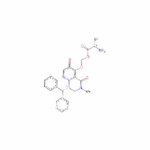 CC(C)[C@H](N)C(=O)OCOc1c2n(ncc1=O)[C@@H](C(c1ccccc1)c1ccccc1)CN(C(C)C)C2=O